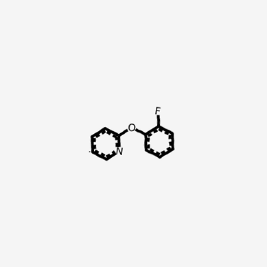 Fc1ccccc1Oc1cc[c]cn1